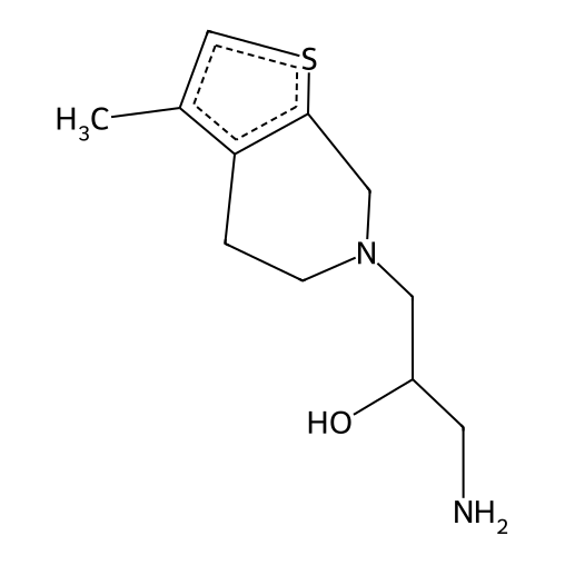 Cc1csc2c1CCN(CC(O)CN)C2